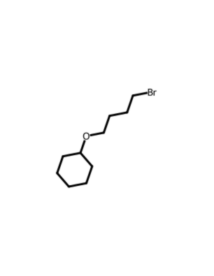 BrCCCCOC1CCCCC1